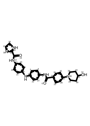 O=C(Nc1ccc(Nc2ccc(NC(=O)c3ncc[nH]3)cc2)cc1)c1ccc(N2CCC(O)CC2)cc1